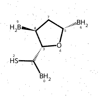 BC(S)[C@H]1O[C@@H](B)C[C@@H]1B